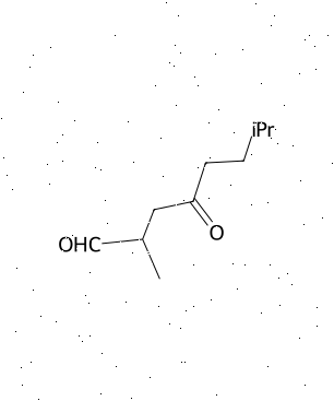 CC(C)CCC(=O)CC(C)C=O